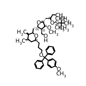 C=C1C(C[C@@H]2O[C@H](C[C@@H](CC)O[Si](C)(C)C(C)(C)C)[C@H](OC)[C@H]2CO)O[C@@H](CCCOC(c2ccccc2)(c2ccccc2)c2ccc(OC)cc2)C[C@H]1C